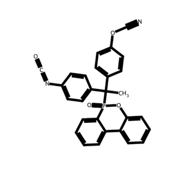 CC(c1ccc(N=C=O)cc1)(c1ccc(OC#N)cc1)P1(=O)Oc2ccccc2-c2ccccc21